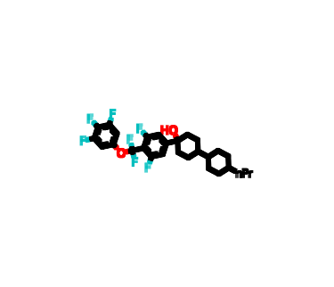 CCCC1CCC(C2CCC(O)(c3cc(F)c(C(F)(F)Oc4cc(F)c(F)c(F)c4)c(F)c3)CC2)CC1